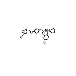 O=C(Cc1ccc(OCc2cc(C3CC3)on2)cc1)NC(c1ccccc1)c1ccc(Cl)cc1